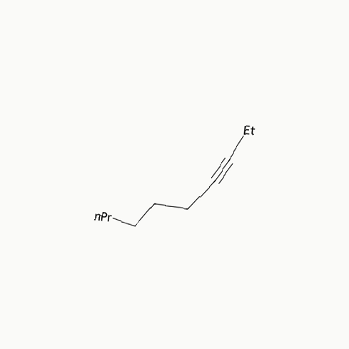 [CH2]CC#CCCCCC[CH2]